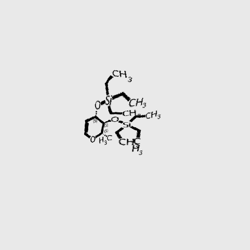 CC[Si](CC)(CC)O[C@H]1[C@H](C)OC=C[C@@H]1O[Si](CC)(CC)CC